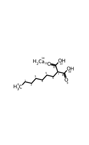 CCCCCCCC(C(=O)O)C(=O)O.[CaH2]